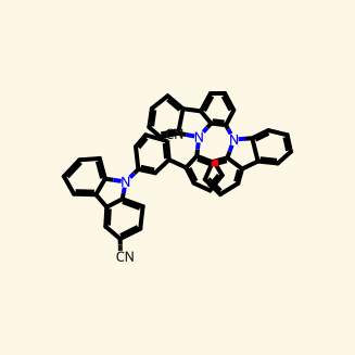 N#Cc1ccc2c(c1)c1ccccc1n2-c1ccc(C#N)c(-c2ccccc2-n2c3ccccc3c3cccc(-n4c5ccccc5c5ccccc54)c32)c1